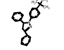 CC(C)(C)c1ccc(N2N=C(c3ccccc3)CC2c2ccccc2)cc1